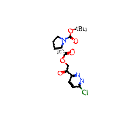 CC(C)(C)OC(=O)N1CCC[C@H]1C(=O)OCC(=O)c1ccc(Cl)nn1